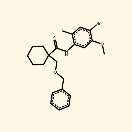 COc1cc(NC(=S)C2(COCc3ccccc3)CCCCC2)c(I)cc1Br